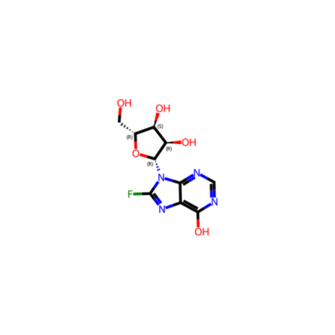 OC[C@H]1O[C@@H](n2c(F)nc3c(O)ncnc32)[C@H](O)[C@@H]1O